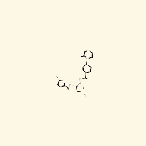 CC(C)N1C[C@H](NC(=O)c2ccc(-n3ccncc3=O)cc2)[C@H](NC(=O)c2ccc(Cl)s2)C1